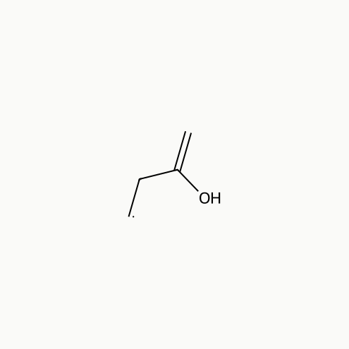 [CH2]CC(=C)O